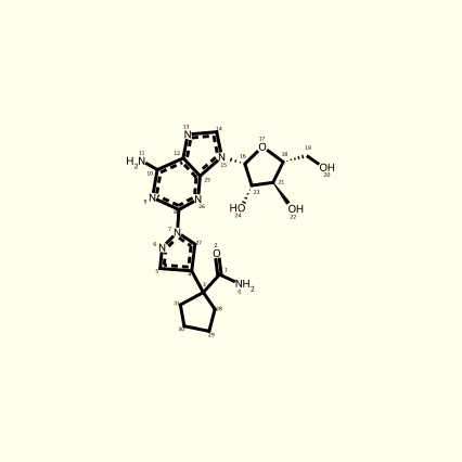 NC(=O)C1(c2cnn(-c3nc(N)c4ncn([C@@H]5O[C@H](CO)[C@@H](O)[C@@H]5O)c4n3)c2)CCCC1